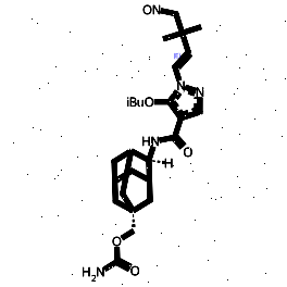 CC(C)COc1c(C(=O)N[C@H]2C3CC4CC2C[C@](COC(N)=O)(C4)C3)cnn1/C=C/C(C)(C)CN=O